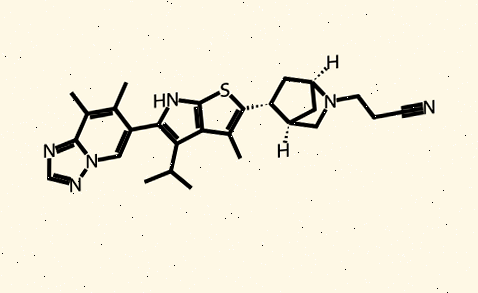 Cc1c(-c2[nH]c3sc([C@@H]4C[C@@H]5C[C@H]4CN5CCC#N)c(C)c3c2C(C)C)cn2ncnc2c1C